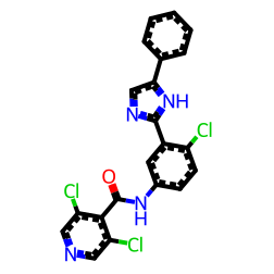 O=C(Nc1ccc(Cl)c(-c2ncc(-c3ccccc3)[nH]2)c1)c1c(Cl)cncc1Cl